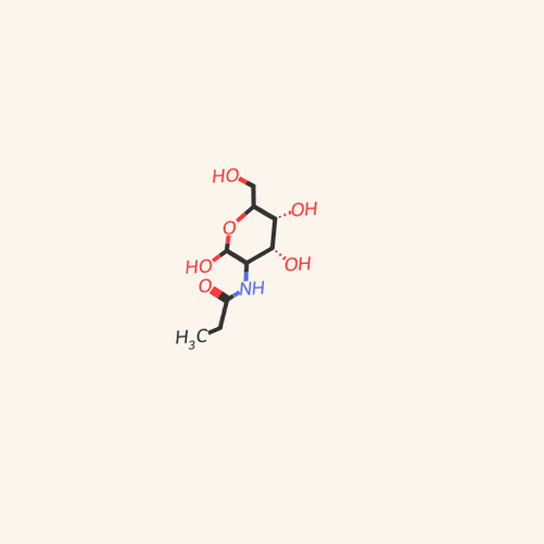 CCC(=O)NC1C(O)OC(CO)[C@H](O)[C@@H]1O